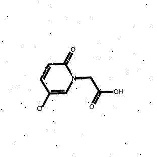 O=C(O)Cn1cc(Cl)ccc1=O